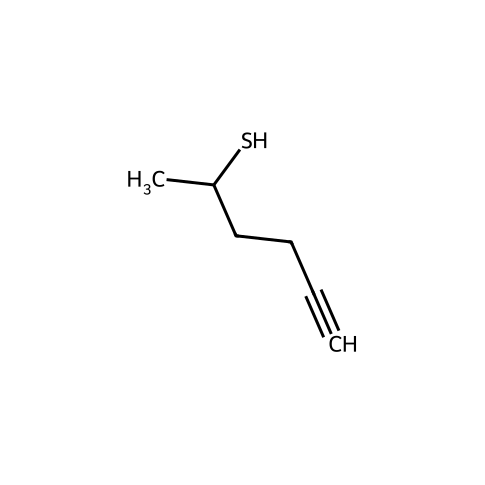 C#CCCC(C)S